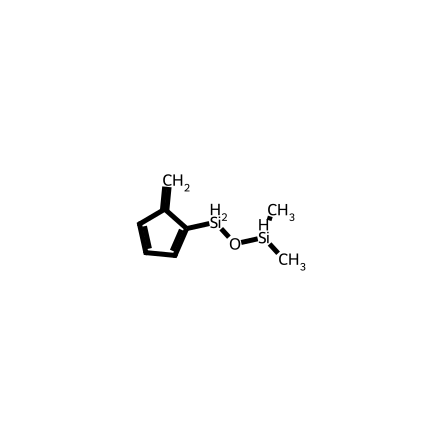 C=C1C=CC=C1[SiH2]O[SiH](C)C